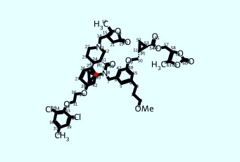 COCCCc1cc(CN(C(=O)[C@H]2CN(CC3=C(C)OC(=O)C3)CC[C@@H]2c2ccc(OCCOc3c(Cl)cc(C)cc3Cl)cc2)C2CC2)cc(OC[C@@H]2C[C@H]2C(=O)OCc2oc(=O)oc2C)c1